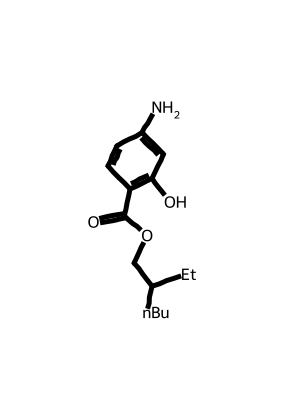 CCCCC(CC)COC(=O)c1ccc(N)cc1O